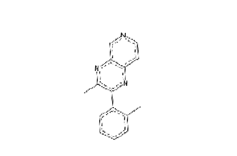 Cc1ccccc1-c1nc2ccncc2nc1C